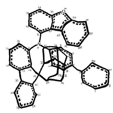 c1ccc(-c2ccc(N(c3cccc4c3C3(c5ccccc5-4)C4CC5CC(C4)CC3C5)c3cccc4oc5ccccc5c34)cc2)cc1